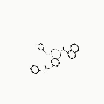 O=C(Nc1ccccc1)Nc1ccc2c(c1)N(Cc1c[nH]cn1)CCN(C(=O)c1cccc3ccccc13)C2